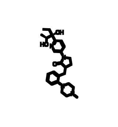 CC[C@@](O)(c1ccc(N2CCC(Cc3ccccc3N3CCN(C)CC3)C2=O)cn1)[C@H](C)O